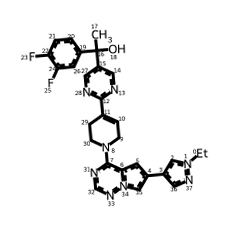 CCn1cc(-c2cc3c(N4CC=C(c5ncc(C(C)(O)c6ccc(F)c(F)c6)cn5)CC4)ncnn3c2)cn1